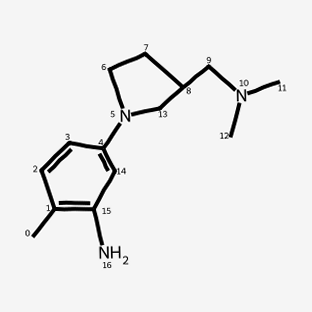 Cc1ccc(N2CCC(CN(C)C)C2)cc1N